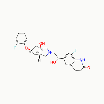 O=C1CCc2cc(C(O)CN3C[C@@H]4C[C@@H](Oc5ccccc5F)C[C@]4(O)C3)cc(F)c2N1